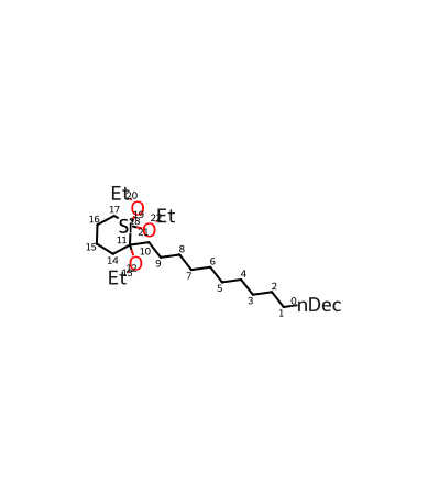 CCCCCCCCCCCCCCCCCCCCC1(OCC)CCCC[Si]1(OCC)OCC